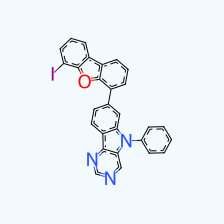 Ic1cccc2c1oc1c(-c3ccc4c5ncncc5n(-c5ccccc5)c4c3)cccc12